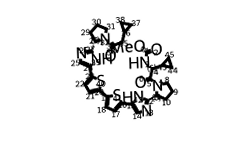 COC(=O)N[C@H](C(=O)N1CCC[C@H]1c1ncc(-c2ccc(-c3ccc(-c4cnc([C@@H]5CCCN5C(=O)CC5CC5)[nH]4)s3)s2)[nH]1)C1CC1